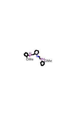 COc1ccccc1PCC=NC1C=CC=CC1=CCPc1ccccc1OC